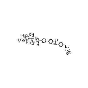 COC(=O)N[C@H](C(=O)N1CCC[C@H]1c1ncc(-c2ccc(-c3ccc(C(=O)Nc4ccc(CN5CCS(=O)(=O)CC5)cc4)cc3)cc2)[nH]1)[C@@H](C)O